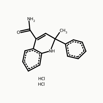 CC1(c2ccccc2)C=C(C(N)=O)c2ccccc2N1.Cl.Cl